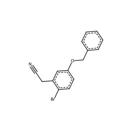 N#CCc1cc(OCc2ccccc2)ccc1Br